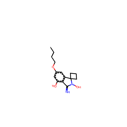 CCCCOc1cc(O)c2c(c1)C1(CCC1)N(O)C2=N